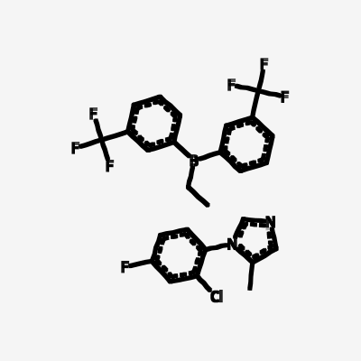 CCB(c1cccc(C(F)(F)F)c1)c1cccc(C(F)(F)F)c1.Cc1cncn1-c1ccc(F)cc1Cl